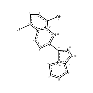 Oc1ccc(F)c2ccc(-c3nnc4ccccn34)nc12